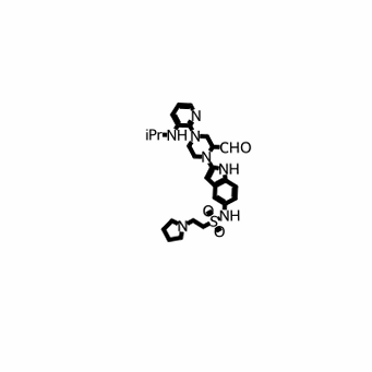 CC(C)Nc1cccnc1N1CCN(c2cc3cc(NS(=O)(=O)CCN4CCCC4)ccc3[nH]2)C(C=O)C1